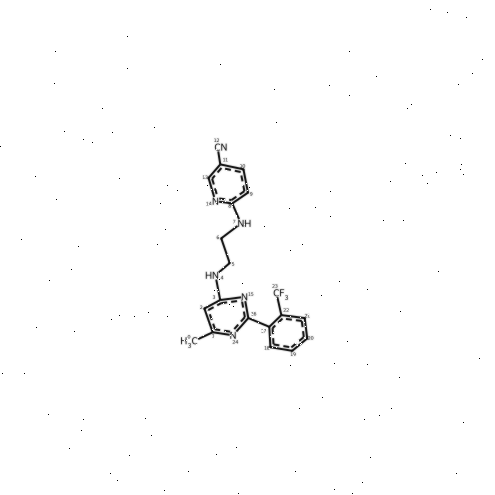 Cc1cc(NCCNc2ccc(C#N)cn2)nc(-c2ccccc2C(F)(F)F)n1